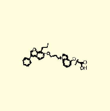 CCCc1c(OCCCn2ccc3c(OC(C)(C)C(=O)O)cccc32)ccc2c(-c3ccccc3)coc12